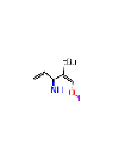 C=CC(=N)/C(=C\OI)C(C)(C)C